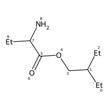 CCC(CC)COC(=O)C(N)CC